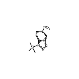 C[Si](C)(C)n1nnc2cc([N+](=O)[O-])ccc21